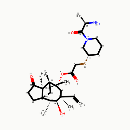 C=C[C@]1(C)C[C@@H](OC(=O)CS[C@H]2CCCN(C(=O)[C@H](N)C(C)C)C2)[C@]2(C)[C@H](C)CC[C@]3(CCC(=O)[C@H]32)[C@@H](C)[C@@H]1O